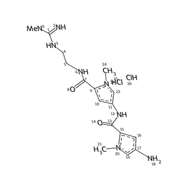 CNC(=N)NCCNC(=O)c1cc(NC(=O)c2cc(N)cn2C)cn1C.Cl.Cl